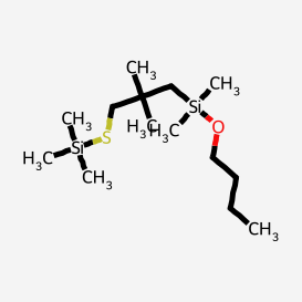 CCCCO[Si](C)(C)CC(C)(C)CS[Si](C)(C)C